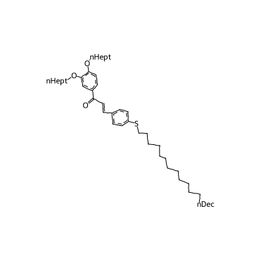 CCCCCCCCCCCCCCCCCCCCCCSc1ccc(C=CC(=O)c2ccc(OCCCCCCC)c(OCCCCCCC)c2)cc1